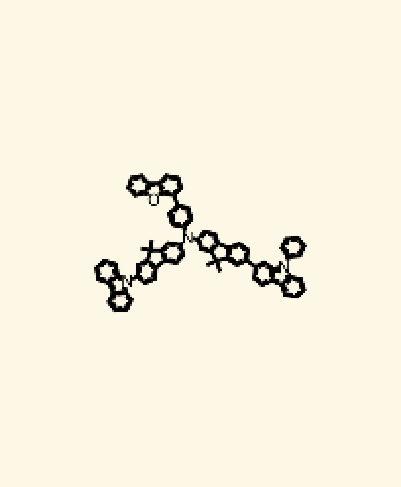 CC1(C)c2cc(-c3ccc4c5ccccc5n(-c5ccccc5)c4c3)ccc2-c2ccc(N(c3ccc(-c4cccc5c4oc4ccccc45)cc3)c3ccc4c(c3)C(C)(C)c3cc(-n5c6ccccc6c6ccccc65)ccc3-4)cc21